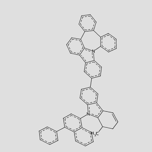 CC1CC=Cc2c1n(-c1ccc(-c3ccccc3)c3ccccc13)c1ccc(-c3ccc4c(c3)c3cccc5c3n4-c3ccccc3-c3ccccc3-5)cc21